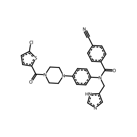 N#Cc1ccc(C(=O)N(Cc2cnc[nH]2)c2ccc(N3CCN(C(=O)c4ccc(Cl)s4)CC3)cc2)cc1